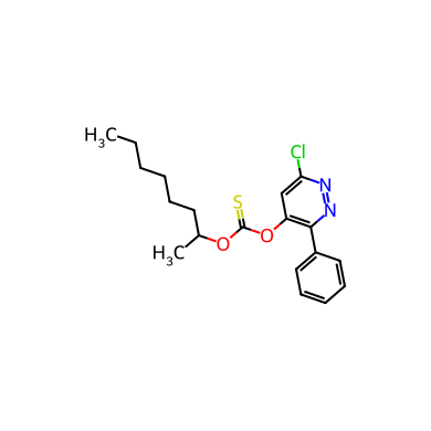 CCCCCCC(C)OC(=S)Oc1cc(Cl)nnc1-c1ccccc1